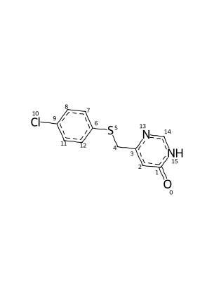 O=c1cc(CSc2ccc(Cl)cc2)nc[nH]1